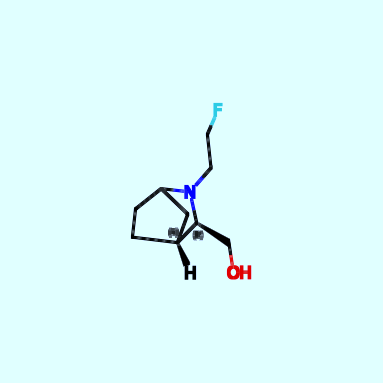 OC[C@H]1[C@@H]2CCC(C2)N1CCF